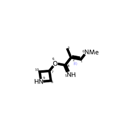 CN/C=C(\C)C(=N)OC1CNC1